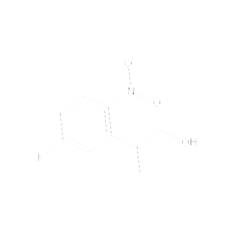 [CH2]C(CO)c1cc(F)ccc1[N+](=O)[O-]